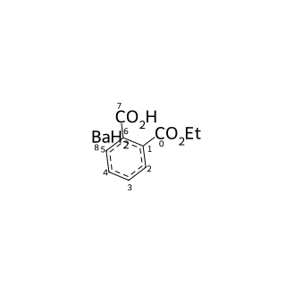 CCOC(=O)c1ccccc1C(=O)O.[BaH2]